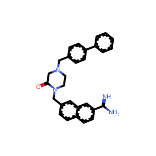 N=C(N)c1ccc2ccc(CN3CCN(Cc4ccc(-c5ccccc5)cc4)CC3=O)cc2c1